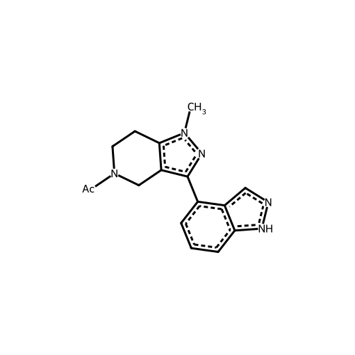 CC(=O)N1CCc2c(c(-c3cccc4[nH]ncc34)nn2C)C1